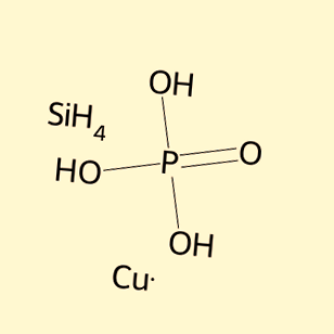 O=P(O)(O)O.[Cu].[SiH4]